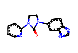 O=C1N(c2ccc3nc[nH]c3c2)CCN1c1ccccn1